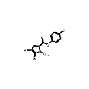 Cn1c(C(=O)Nc2ccc(Cl)cc2)cc(Br)c1Br